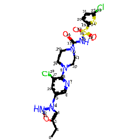 CCC1=CN(c2cnc(N3CCN(C(=O)NS(=O)(=O)c4ccc(Cl)s4)CC3)c(Cl)c2)NO1